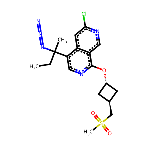 CCC(C)(N=[N+]=[N-])c1cnc(O[C@H]2C[C@H](CS(C)(=O)=O)C2)c2cnc(Cl)cc12